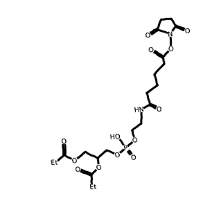 CCC(=O)OCC(COP(=O)(O)OCCNC(=O)CCCCC(=O)ON1C(=O)CCC1=O)OC(=O)CC